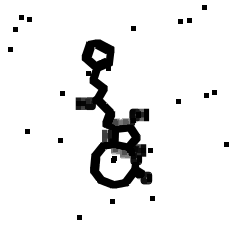 O=C1CCCC=CC[C@@H]2[C@@H](C=CC(O)CCc3ccccc3)[C@H](O)C[C@@H]2O1